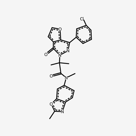 Cc1nc2ccc(N(C)C(=O)C(C)(C)n3nc(-c4cccc(Cl)c4)c4occc4c3=O)cc2o1